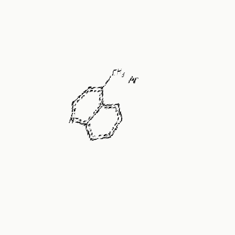 Cc1ccnc2ccccc12.[Ar]